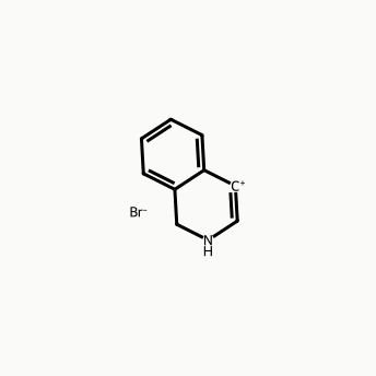 [Br-].[C+]1=CNCc2ccccc21